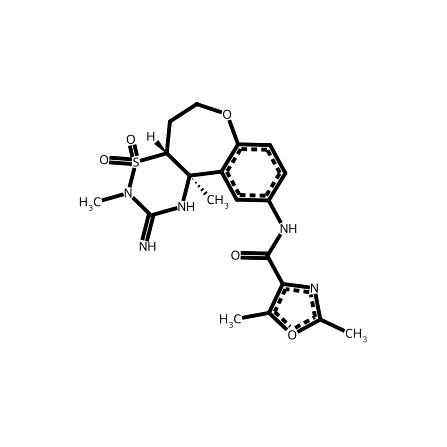 Cc1nc(C(=O)Nc2ccc3c(c2)[C@@]2(C)NC(=N)N(C)S(=O)(=O)[C@@H]2CCO3)c(C)o1